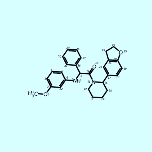 COc1cccc(NC(C(=O)N2CCCCC2c2ccc3c(c2)CCO3)c2ccccc2)c1